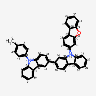 Cc1ccc(-n2c3ccccc3c3cc(-c4ccc5c6ccccc6n(-c6ccc7c(c6)oc6ccccc67)c5c4)ccc32)cc1